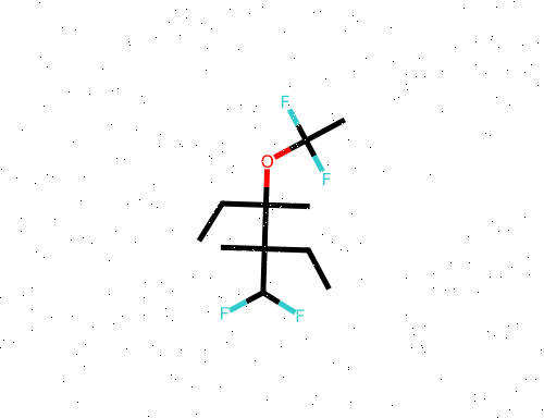 CCC(C)(OC(C)(F)F)C(C)(CC)C(F)F